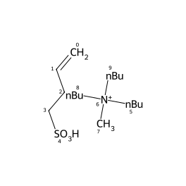 C=CCCS(=O)(=O)O.CCCC[N+](C)(CCCC)CCCC